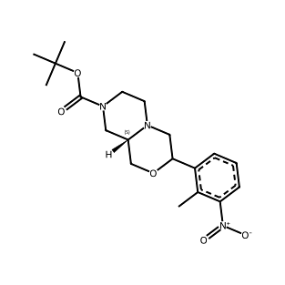 Cc1c(C2CN3CCN(C(=O)OC(C)(C)C)C[C@H]3CO2)cccc1[N+](=O)[O-]